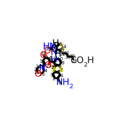 Nc1ccc2c(c1)Sc1cccc(-c3cc(=O)cc(N4CCOCC4)o3)c1S2.O=C(O)CCCC[C@@H]1SC[C@@H]2NC(=O)N[C@@H]21